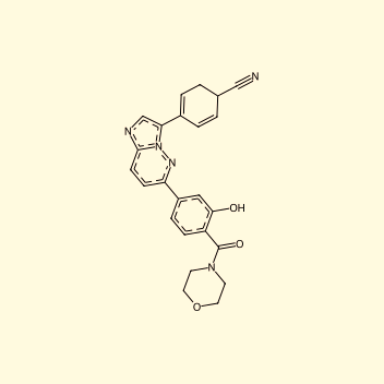 N#CC1C=CC(c2cnc3ccc(-c4ccc(C(=O)N5CCOCC5)c(O)c4)nn23)=CC1